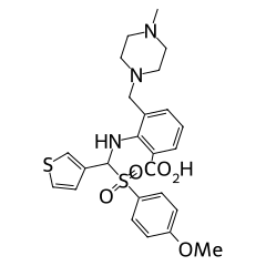 COc1ccc(S(=O)(=O)C(Nc2c(CN3CCN(C)CC3)cccc2C(=O)O)c2ccsc2)cc1